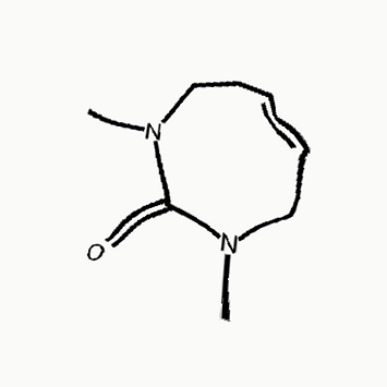 CN1CC=CCN(C)C1=O